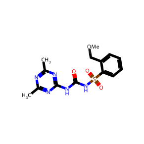 COCc1ccccc1S(=O)(=O)NC(=O)Nc1nc(C)nc(C)n1